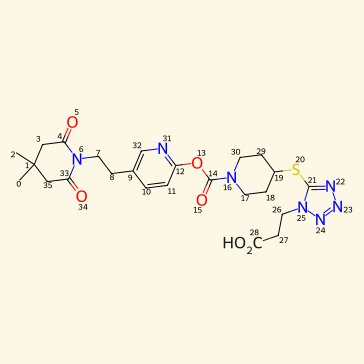 CC1(C)CC(=O)N(CCc2ccc(OC(=O)N3CCC(Sc4nnnn4CCC(=O)O)CC3)nc2)C(=O)C1